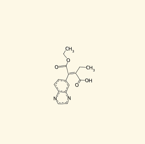 CCOC(=O)C(=C(CC)C(=O)O)c1ccc2nccnc2c1